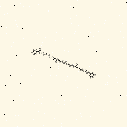 O=C(COCOCCOCCOC(=O)c1ccccc1)OCCOCCOCOCC(=O)OCCOCOCOc1ccccc1